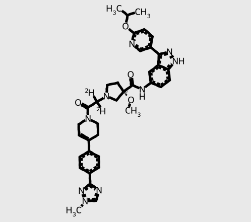 [2H]C([2H])(C(=O)N1CC=C(c2ccc(-c3ncn(C)n3)cc2)CC1)N1CC[C@@](OC)(C(=O)Nc2ccc3[nH]nc(-c4ccc(OC(C)C)nc4)c3c2)C1